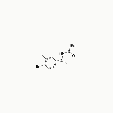 Cc1cc([C@@H](C)N[S+]([O-])C(C)(C)C)ccc1Br